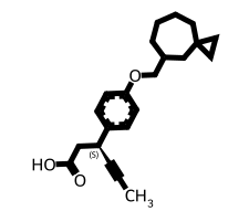 CC#C[C@@H](CC(=O)O)c1ccc(OCC2CCCCC3(CC3)C2)cc1